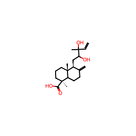 C=CC(C)(O)C(O)C[C@H]1C(=C)CCC2[C@]1(C)CCC[C@]2(C)C(=O)O